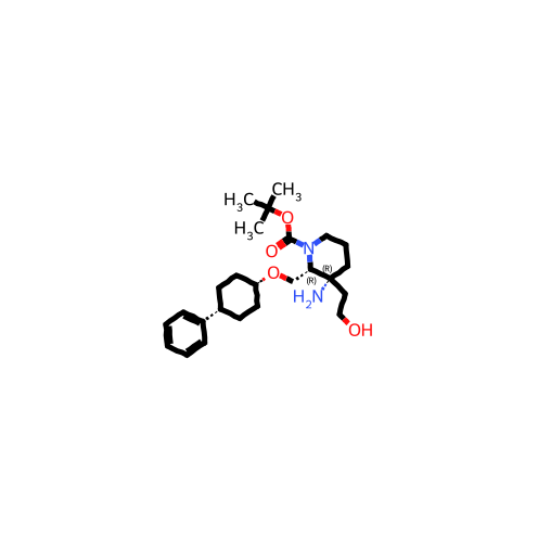 CC(C)(C)OC(=O)N1CCC[C@@](N)(CCO)[C@@H]1CO[C@H]1CC[C@@H](c2ccccc2)CC1